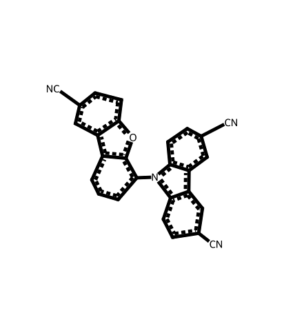 N#Cc1ccc2oc3c(-n4c5ccc(C#N)cc5c5cc(C#N)ccc54)cccc3c2c1